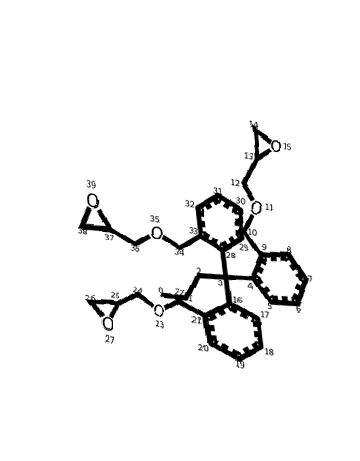 CCCC(c1ccccc1COCC1CO1)(c1ccccc1COCC1CO1)c1ccccc1COCC1CO1